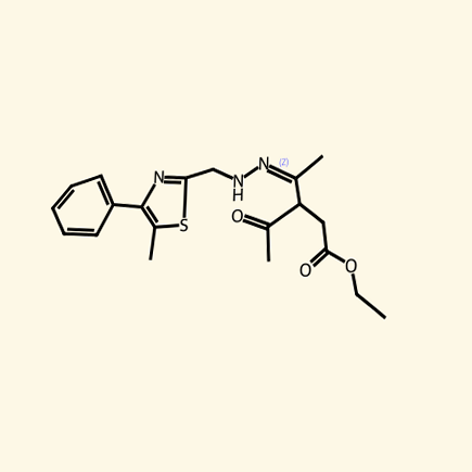 CCOC(=O)CC(C(C)=O)/C(C)=N\NCc1nc(-c2ccccc2)c(C)s1